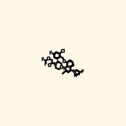 Cc1cc(-n2cc(F)cn2)c2cccc(OCc3c(Cl)cc(F)cc3[C@@H]3COCCN3C(=O)COC(F)F)c2n1